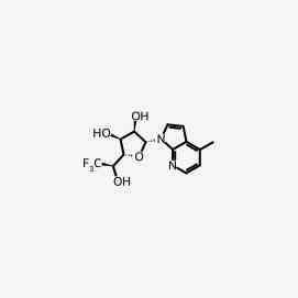 Cc1ccnc2c1ccn2[C@@H]1O[C@H]([C@@H](O)C(F)(F)F)[C@@H](O)[C@H]1O